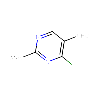 CSc1ncc(C=O)c(F)n1